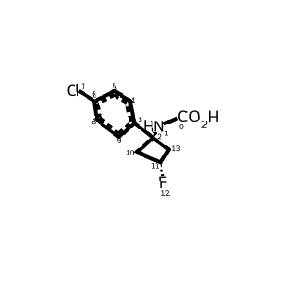 O=C(O)N[C@]1(c2ccc(Cl)cc2)C[C@@H](F)C1